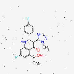 COC(O)c1cc(F)cc2c1C(=O)[C@H](c1ncnn1C)[C@@H](c1ccc(F)cc1)N2